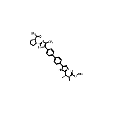 C[C@@H](c1ncc(-c2ccc(-c3ccc(-c4[nH]c([C@@H]5CCCN5C(=O)C(C)(C)C)nc4C(F)(F)F)cc3)cc2)[nH]1)N(C)C(=O)OC(C)(C)C